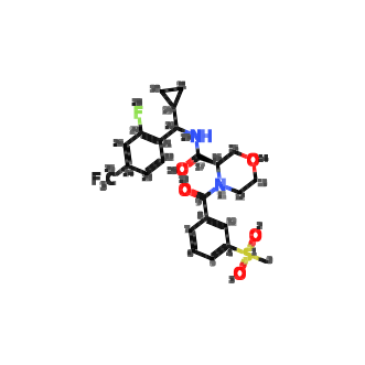 CS(=O)(=O)c1cccc(C(=O)N2CCOC[C@@H]2C(=O)NC(c2ccc(C(F)(F)F)cc2F)C2CC2)c1